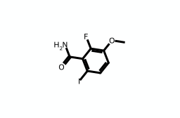 COc1ccc(I)c(C(N)=O)c1F